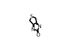 O=C1N=C2CSCC2=N1